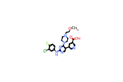 COCCN1CCN(c2nc(Nc3ccc(F)c(Cl)c3)ncc2-c2cncc(C(=O)O)c2)CC1